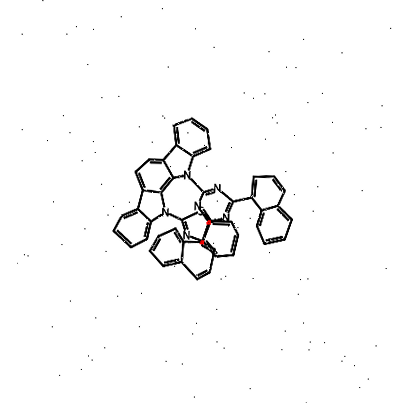 c1ccc2c(-c3nc(-c4cccc5ccccc45)nc(-n4c5ccccc5c5ccc6c7ccccc7n(-c7nc8ccccc8s7)c6c54)n3)cccc2c1